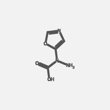 NN(C(=O)O)c1cnco1